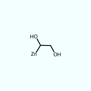 OC[CH](O)[Zn]